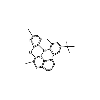 Cc1ccc2c(n1)Oc1c(C)cc3ccccc3c1N2c1c(C)cc(C(C)(C)C)cc1C